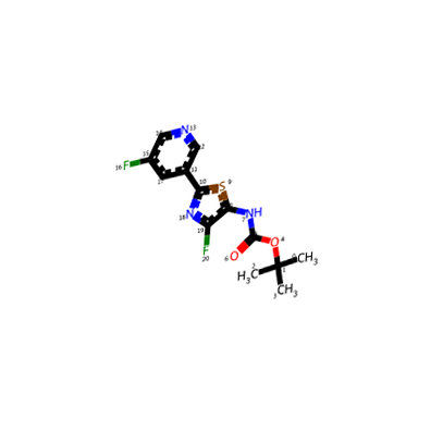 CC(C)(C)OC(=O)Nc1sc(-c2cncc(F)c2)nc1F